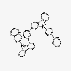 c1ccc(-c2ccc(-n3c4ccccc4c4ccc(-c5cc(-c6ccccc6)cc(-c6cccc7c8ccccc8n(-c8ccccc8)c67)c5)cc43)cc2)cc1